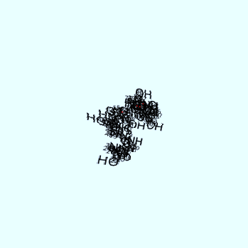 CSCC[C@H](NC(=O)[C@@H]1CCCN1C(=O)CNC(=O)[C@@H]1C[C@@H](O)CN1C(=O)[C@@H]1CCCN1)C(=O)NCC(=O)N1CCC[C@H]1C(=O)N1C[C@H](O)C[C@H]1C(=O)NCC(=O)N1CCC[C@H]1C(=O)N1C[C@H](O)C[C@H]1C(=O)NCC(=O)N1CCC[C@H]1C(=O)N1C[C@H](O)C[C@H]1C(=O)NCC(=O)N1CCC[C@H]1C(=O)N1C[C@H](O)C[C@H]1C(=O)NCC(=O)O